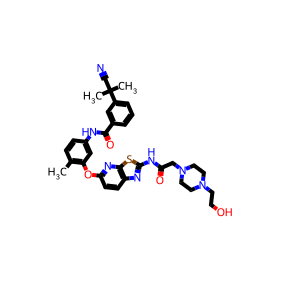 Cc1ccc(NC(=O)c2cccc(C(C)(C)C#N)c2)cc1Oc1ccc2nc(NC(=O)CN3CCN(CCO)CC3)sc2n1